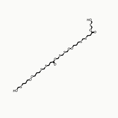 O=C(CCSCSCCCOOCSCSCOC(=O)CCSCSCCCOOCCCSCO)OCSCO